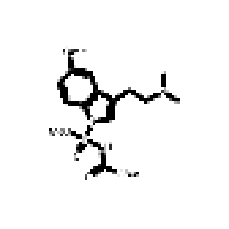 COC(=O)NP(=O)(OC)n1cc(CCN(C)C)c2cc(OC)ccc21